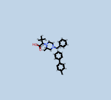 Cc1ccc(-c2ccc([C@@H](c3ccccc3)N3CCN(C(C(=O)O)C(C)(C)C)C(C)C3)cc2)cc1